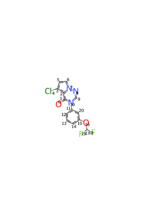 O=c1c2c(Cl)ccn2ncn1-c1cccc(OC(F)F)c1